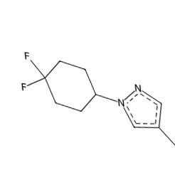 Cc1cnn(C2CCC(F)(F)CC2)c1